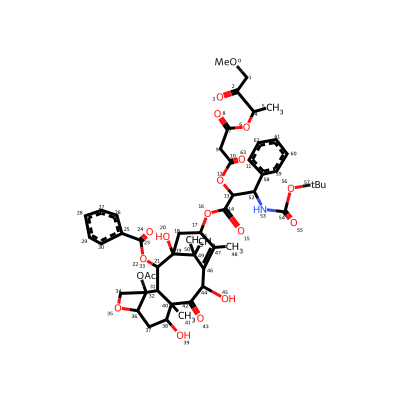 COCC(=O)C(C)OC(=O)CC(=O)OC(C(=O)OC1CC2(O)C(OC(=O)c3ccccc3)C3C4(OC(C)=O)COC4CC(O)C3(C)C(=O)C(O)C(=C1C)C2(C)C)C(NC(=O)OC(C)(C)C)c1ccccc1